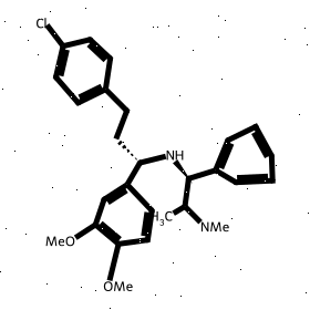 CNC(C)[C@@H](N[C@@H](CCc1ccc(Cl)cc1)c1ccc(OC)c(OC)c1)c1ccccc1